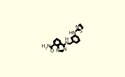 NC(=O)c1cccc2c(NCc3cccc(Nc4nccs4)c3)ncnc12